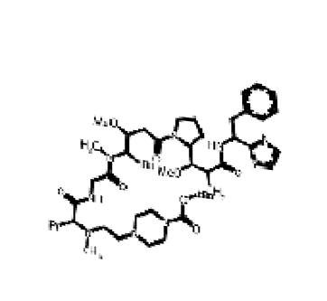 CCC(C)C(C(CC(=O)N1CCCC1C(OC)C(C)C(=O)NC(Cc1ccccc1)c1nccs1)OC)N(C)C(=O)CNC(=O)C(C(C)C)N(C)CCN1CCN(C(=O)OC(C)(C)C)CC1